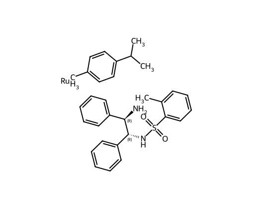 Cc1ccc(C(C)C)cc1.Cc1ccccc1S(=O)(=O)N[C@H](c1ccccc1)[C@H](N)c1ccccc1.[Ru]